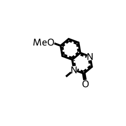 COc1ccc2ncc(=O)n(C)c2c1